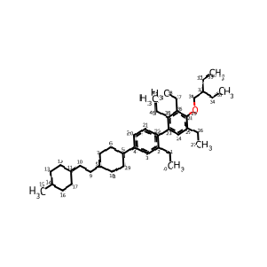 CCc1cc(C2CCC(CCC3CCC(C)CC3)CC2)ccc1-c1cc(CC)c(OCC(CC)CC)c(CC)c1CC